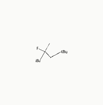 CCC(C)C(C)(F)CC(C)(C)C